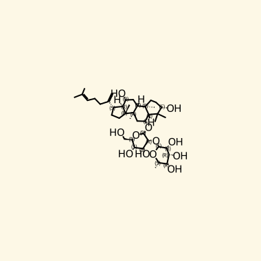 C=C(CCC=C(C)C)[C@H]1CC[C@]2(C)[C@@H]1[C@H](O)C[C@@H]1[C@@]3(C)CC[C@H](O)C(C)(C)[C@@H]3[C@@H](O[C@@H]3O[C@H](CO)[C@@H](O)[C@H](O)[C@H]3O[C@@H]3O[C@@H](C)[C@H](O)[C@@H](O)[C@H]3O)C[C@]12C